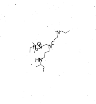 CCCN(C)CCCN(CCCNC(C)CC)C[SiH2]OC(C)(CC)CC